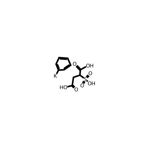 O=C(O)CC(C(=O)O)S(=O)(=O)O.[K][c]1ccccc1